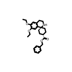 CCOc1cc2c(cc1OCC)[C@]1(CC[C@@H](C(=O)OCc3ccccc3)CC1)NCC2